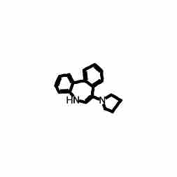 C1=C(N2CCCC2)c2ccccc2-c2ccccc2N1